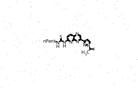 CCCCCNC(=S)Nc1ccc2ncc(-c3ccn(C(C)I)n3)nc2n1